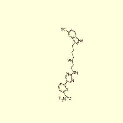 N#Cc1ccc2[nH]cc(CCCCNCCNc3ncc(-c4cccc(C(N)=O)n4)cn3)c2c1